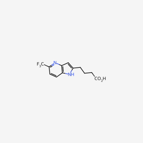 O=C(O)CCCc1cc2nc(C(F)(F)F)ccc2[nH]1